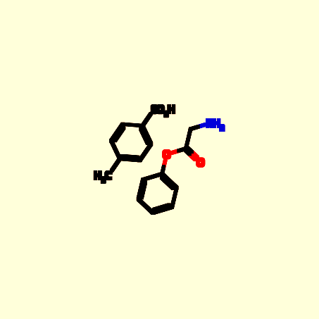 Cc1ccc(S(=O)(=O)O)cc1.NCC(=O)Oc1ccccc1